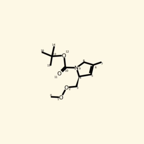 COOC[C@@H]1C=C(C)CN1C(=O)OC(C)(C)C